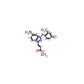 COC(=O)C=Cc1nn(Cc2ccc(Cl)cc2C)c2cc(N)ccc12